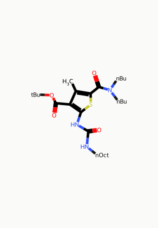 CCCCCCCCNC(=O)Nc1sc(C(=O)N(CCCC)CCCC)c(C)c1C(=O)OC(C)(C)C